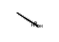 CCCCCCCCC/C=C/C=C/C=C/C=C/C=C/C=C/C(=O)NCCO